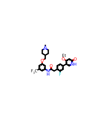 CCOc1cc(=O)[nH]cc1-c1ccc(CC(=O)Nc2cc(OCC3CCN(C)CC3)cc(C(F)(F)F)c2)c(F)c1